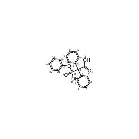 O=C(O)C(c1ccccc1)(c1ccccc1)P(=O)(O)Oc1ccccc1